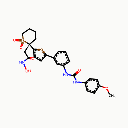 COc1ccc(NC(=O)Nc2cccc(-c3ccc([C@@]4(CC(=O)NO)CCCCS4(=O)=O)s3)c2)cc1